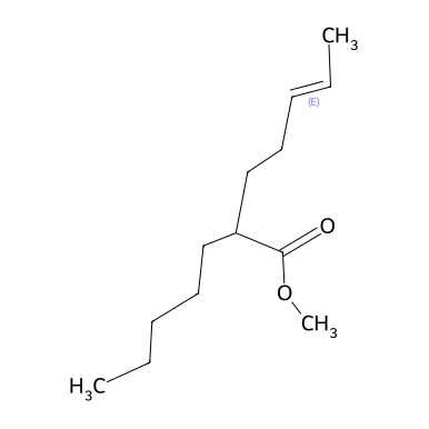 C/C=C/CCC(CCCCC)C(=O)OC